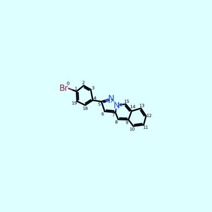 Brc1ccc(-c2cc3cc4ccccc4cn3n2)cc1